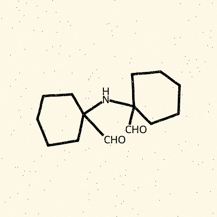 O=CC1(NC2(C=O)CCCCC2)CCCCC1